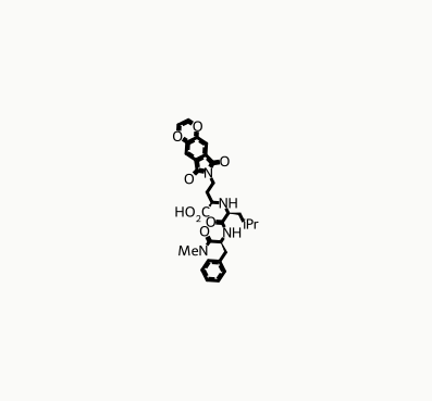 CNC(=O)[C@H](Cc1ccccc1)NC(=O)[C@H](CC(C)C)N[C@H](CCn1c(=O)c2cc3occoc3cc2c1=O)C(=O)O